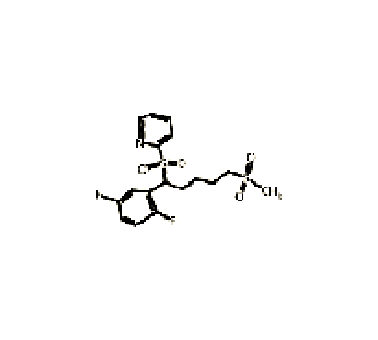 CS(=O)(=O)CCCCC(c1cc(F)ccc1F)S(=O)(=O)c1ccccn1